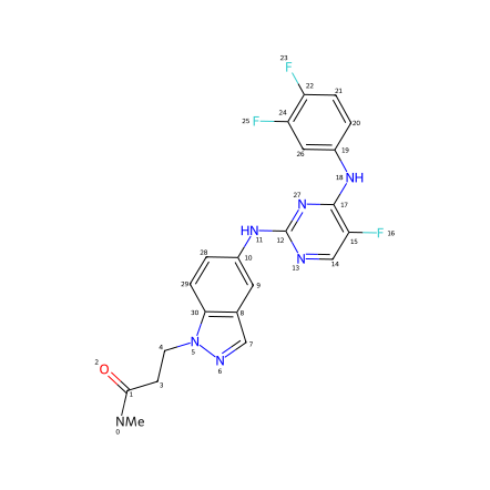 CNC(=O)CCn1ncc2cc(Nc3ncc(F)c(Nc4ccc(F)c(F)c4)n3)ccc21